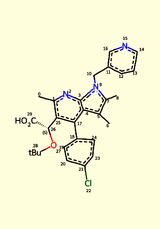 Cc1nc2c(c(C)c(C)n2Cc2cccnc2)c(-c2ccc(Cl)cc2)c1[C@H](OC(C)(C)C)C(=O)O